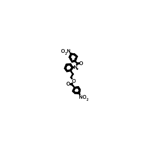 CN(C(=O)c1ccc([N+](=O)[O-])cc1)c1ccccc1CCOC(=O)c1ccc([N+](=O)[O-])cc1